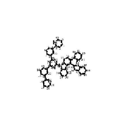 c1ccc(-c2cccc(-c3nc(-c4cccc(-c5ccccn5)c4)nc(-n4c5ccccc5c5c6c(ccc54)c4ccccc4n4c5ccccc5cc64)n3)c2)nc1